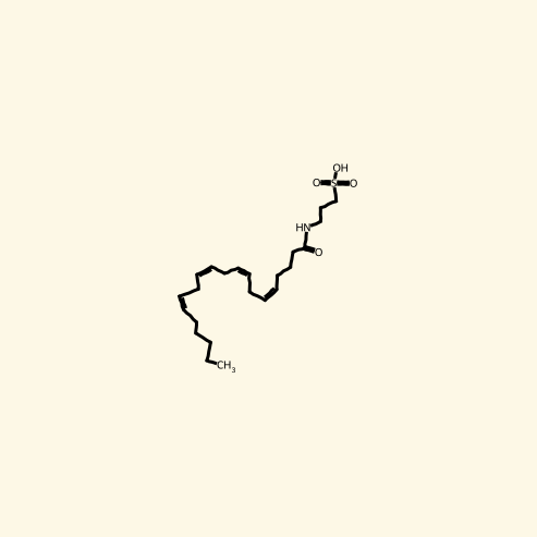 CCCCC/C=C\C/C=C\C/C=C\C/C=C\CCCC(=O)NCCCS(=O)(=O)O